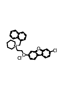 Clc1ccc2c(c1)oc1cc(OCC[N+]3(Cc4cccc5ccccc45)CCCCC3)ccc12.[Cl-]